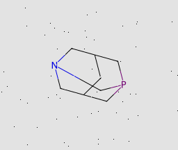 C1C2CN3CC1CP(C2)C3